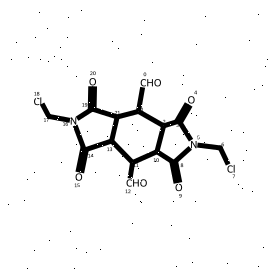 O=CC1C2C(=O)N(CCl)C(=O)C2C(C=O)C2C(=O)N(CCl)C(=O)C12